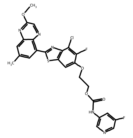 COc1cnc2c(-c3nc4c(Cl)c(F)c(OCCOC(=O)Nc5cncc(F)c5)cc4s3)cc(C)cc2n1